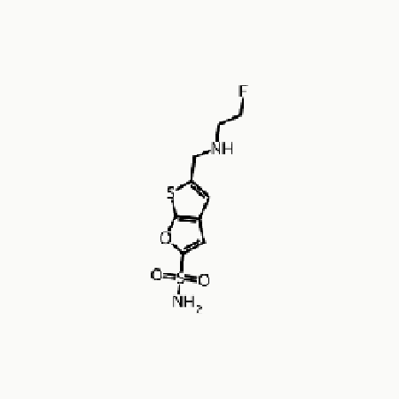 NS(=O)(=O)c1cc2cc(CNCCF)sc2o1